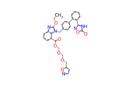 CCOc1nc2cccc(C(=O)OCOCOCc3ccno3)c2n1Cc1ccc(-c2ccccc2-c2noc(=O)[nH]2)cc1